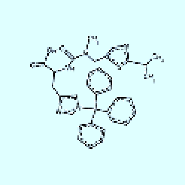 CC(C)c1ncc(CN(C)C(=O)NC(Cc2cn(C(c3ccccc3)(c3ccccc3)c3ccccc3)cn2)C(=O)O)s1